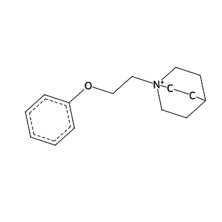 c1ccc(OCC[N+]23CCC(CC2)CC3)cc1